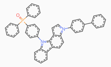 O=P(c1ccccc1)(c1ccccc1)c1ccc(-n2c3ccccc3c3ccc4c(ccn4-c4ccc(-c5ccccc5)cc4)c32)cc1